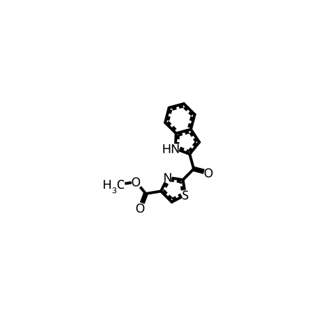 COC(=O)c1csc(C(=O)c2cc3ccccc3[nH]2)n1